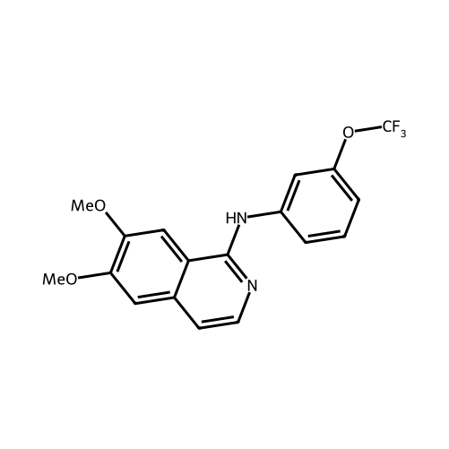 COc1cc2ccnc(Nc3cccc(OC(F)(F)F)c3)c2cc1OC